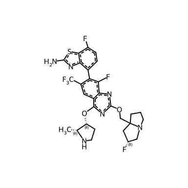 C[C@H]1NCC[C@H]1Oc1nc(OCC23CCCN2C[C@H](F)C3)nc2c(F)c(-c3ccc(F)c4sc(N)nc34)c(C(F)(F)F)cc12